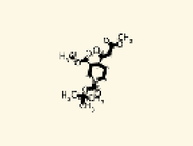 COC(=O)CC(=O)[C@H]1CCN(C(=O)OC(C)(C)C)C[C@H]1C(=O)OC